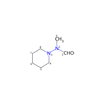 CN([C]=O)N1CCCCC1